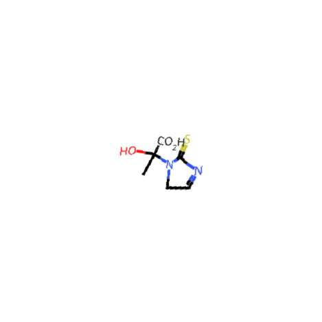 CC(O)(C(=O)O)N1CC=NC1=S